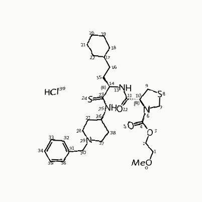 COCCOC(=O)N1CSC[C@H]1C(=O)N[C@H](CCC1CCCCC1)C(=S)NC1CCN(Cc2ccccc2)CC1.Cl